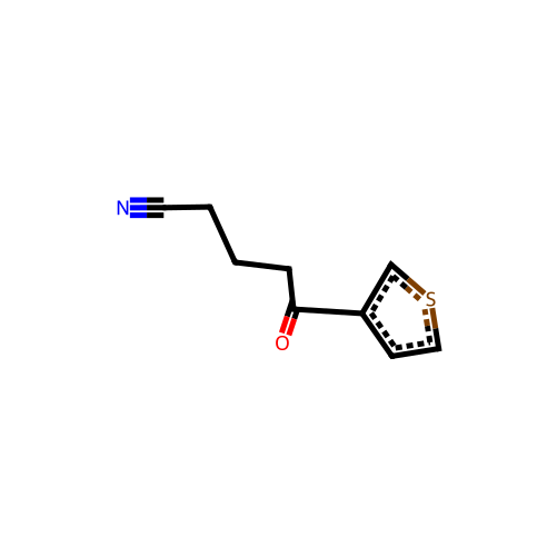 N#CCCCC(=O)c1ccsc1